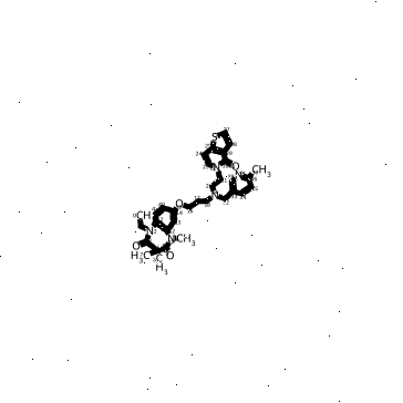 CCN1C(=O)C(C)(C)C(=O)N(C)c2cc(OCCCN(CCn3ccc4sccc4c3=O)Cc3ccc(C)nc3)ccc21